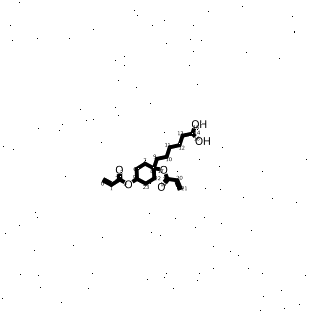 C=CC(=O)OC1CCC(CCCCCC(O)O)(OC(=O)C=C)CC1